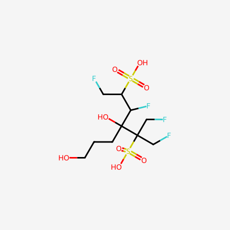 O=S(=O)(O)C(CF)C(F)C(O)(CCCO)C(CF)(CF)S(=O)(=O)O